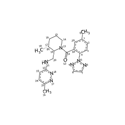 Cc1ccc(-n2nccn2)c(C(=O)N2CCC[C@@H](C)C2CNc2ccc(C)nn2)c1